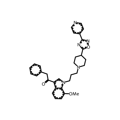 COc1cccc2c(C(=O)Cc3ccccc3)cn(CCCN3CCC(c4nc(-c5ccncc5)no4)CC3)c12